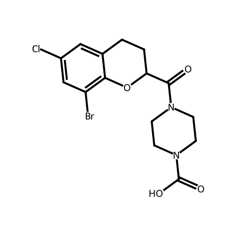 O=C(O)N1CCN(C(=O)C2CCc3cc(Cl)cc(Br)c3O2)CC1